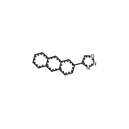 [c]1cc(-c2conn2)cc2cc3ccccc3cc12